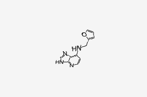 c1coc(CNc2ccnc3[nH]cnc23)c1